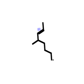 [CH2]CCCC(C)/C=C/C